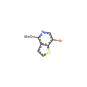 COc1ncc(Br)c2sccc12